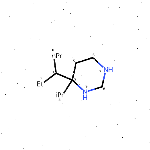 CCCC(CC)C1(C(C)C)CCNCN1